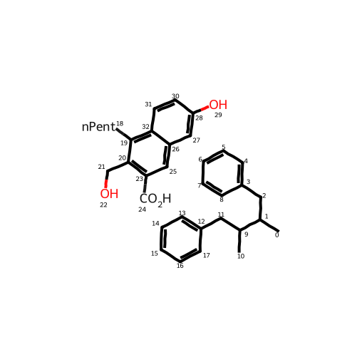 CC(Cc1ccccc1)C(C)Cc1ccccc1.CCCCCc1c(CO)c(C(=O)O)cc2cc(O)ccc12